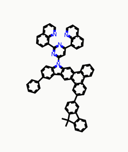 CC1(C)c2ccccc2-c2cc(-c3ccc4c5ccccc5c5cc6c(cc5c4c3)c3cc(-c4ccccc4)ccc3n6-c3cc(-c4cccc5cccnc45)nc(-c4cccc5cccnc45)n3)ccc21